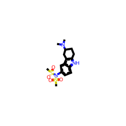 CN(C)C1CCc2[nH]c3ccc(N(S(C)(=O)=O)S(C)(=O)=O)cc3c2C1